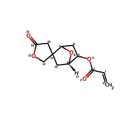 C=CC(=O)OC1CC2O[C@H]1CC21COC(=O)C1